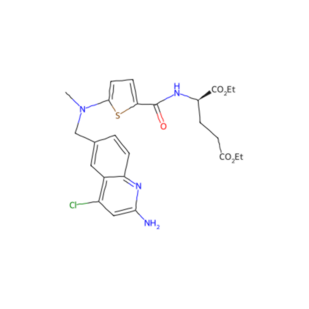 CCOC(=O)CC[C@@H](NC(=O)c1ccc(N(C)Cc2ccc3nc(N)cc(Cl)c3c2)s1)C(=O)OCC